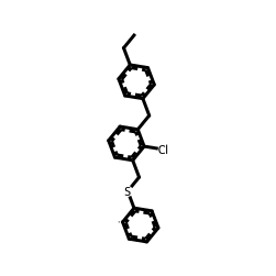 CCc1ccc(Cc2cccc(CSc3[c]cccc3)c2Cl)cc1